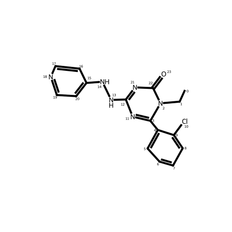 CCn1c(-c2ccccc2Cl)nc(NNc2ccncc2)nc1=O